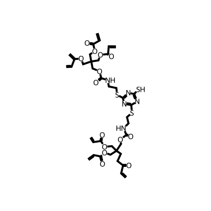 C=CC(=C)OCC(COC(=O)C=C)(COC(=O)C=C)COC(=O)NCCSc1nc(S)nc(SCCNC(=O)OCC(CCC(=O)C=C)(COC(=O)C=C)COC(=O)C=C)n1